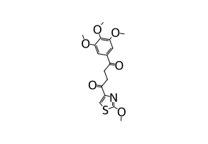 COc1nc(C(=O)CCC(=O)c2cc(OC)c(OC)c(OC)c2)cs1